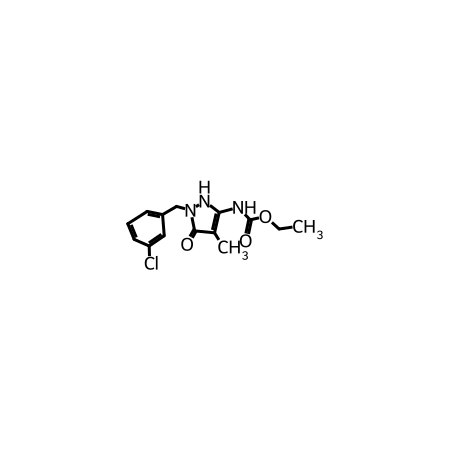 CCOC(=O)Nc1[nH]n(Cc2cccc(Cl)c2)c(=O)c1C